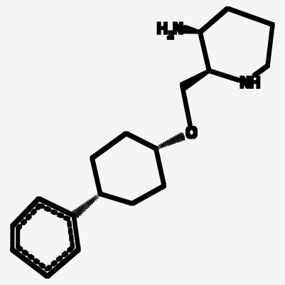 N[C@H]1CCCN[C@H]1CO[C@H]1CC[C@@H](c2ccccc2)CC1